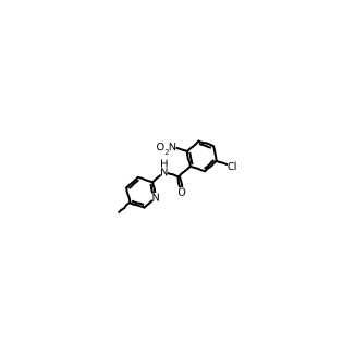 Cc1ccc(NC(=O)c2cc(Cl)ccc2[N+](=O)[O-])nc1